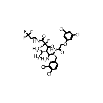 CC(C)[C@H](C(=O)C(F)(F)C(=O)NCCC(F)(F)F)C(N)[C@H](Cc1ccc(Cl)c(Cl)c1)NC(=O)COc1cc(Cl)cc(Cl)c1